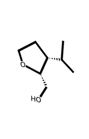 CC(C)[C@H]1CCO[C@H]1CO